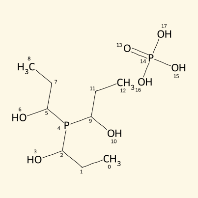 CCC(O)P(C(O)CC)C(O)CC.O=P(O)(O)O